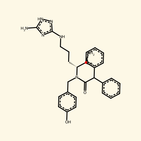 NC(=O)[C@@H](CCCNc1n[nH]c(N)n1)N(Cc1ccc(O)cc1)C(=O)C(c1ccccc1)c1ccccc1